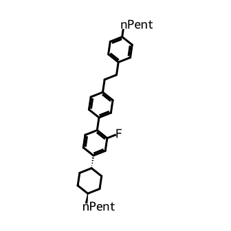 CCCCCc1ccc(CCc2ccc(-c3ccc([C@H]4CC[C@H](CCCCC)CC4)cc3F)cc2)cc1